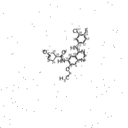 CCOc1cc2ncnc(Nc3ccc(F)c(Cl)c3)c2cc1NC(=O)C1CS[S+]([O-])C1